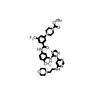 Cc1ccc(NC(=O)c2cc(N3CCN(C(=O)OC(C)(C)C)CC3)cc(C(F)(F)F)c2)cc1Nc1ncnn1-c1cc(NCCN2CCOCC2)ncn1